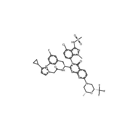 C[C@@H]1CN(c2ccc3c(=O)n(-c4ccc(Cl)c5c(NS(C)(=O)=O)nn(C)c45)c([C@H](Cc4cc(F)cc(F)c4)NC(=O)Cn4ccc(C5CC5)n4)nc3n2)C[C@H](C(F)(F)F)O1